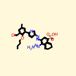 CCCCOc1c(C=O)cc(C)cc1-c1ccc(/N=N/c2cc(S(=O)(=O)O)c3c(c2N=NN)=CCCC=3)cn1